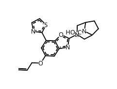 C=CCOc1cc(-c2nccs2)c2oc(N3CC4CCC(C3)N4C(=O)O)nc2c1